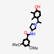 COc1cc(OC)cc(C(=O)N[C@@H]2CCN(C(C)c3ccc(O)c(C)c3C)C2)c1